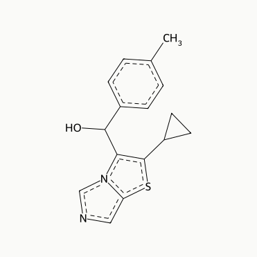 Cc1ccc(C(O)c2c(C3CC3)sc3cncn23)cc1